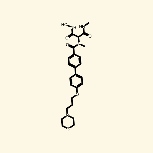 CNC(=O)C(C(=O)NO)N(C)C(=O)c1ccc(-c2ccc(OCCCN3CCSCC3)cc2)cc1